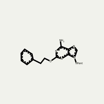 CCCCCn1cnc2c(N)nc(OCCc3ccccc3)nc21